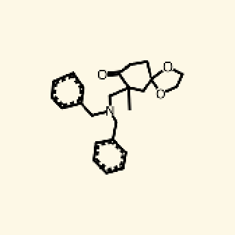 CC1(CN(Cc2ccccc2)Cc2ccccc2)CC2(CCC1=O)OCCO2